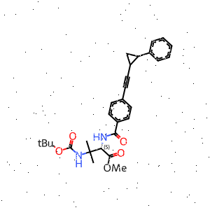 COC(=O)[C@@H](NC(=O)c1ccc(C#CC2CC2c2ccccc2)cc1)C(C)(C)NC(=O)OC(C)(C)C